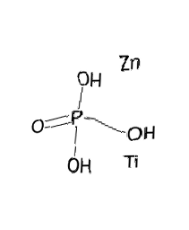 O=P(O)(O)O.[Ti].[Zn]